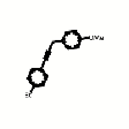 CCc1ccc(C#CCc2ccc(OC)cc2)cc1